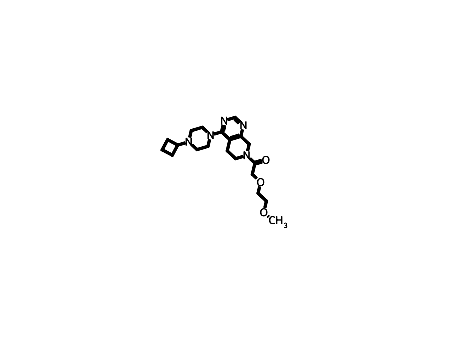 COCCOCC(=O)N1CCc2c(ncnc2N2CCN(C3CCC3)CC2)C1